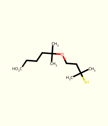 CC(C)(S)CCOC(C)(C)CCCC(=O)O